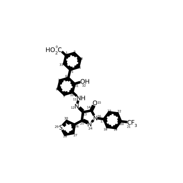 O=C(O)c1cccc(-c2cccc(NN=C3C(=O)N(c4ccc(C(F)(F)F)cc4)N=C3c3ccsc3)c2O)c1